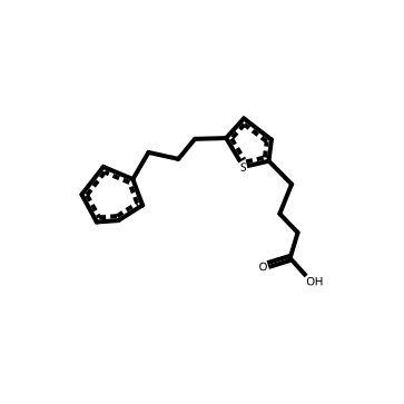 O=C(O)CCCc1ccc(CCCc2ccccc2)s1